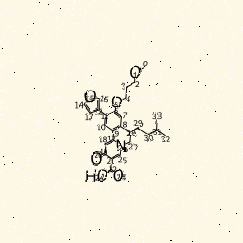 COCCCOc1cc2c(cc1-c1ccoc1)-c1cc(=O)c(C(=O)O)cn1C[C@@H]2CCC(C)C